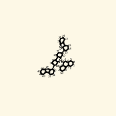 c1ccc2c(c1)cc(-n1c3cc(-c4cccc5c4sc4ccccc45)ccc3c3ccc(-c4cccc5c4sc4ccccc45)cc31)c1ccccc12